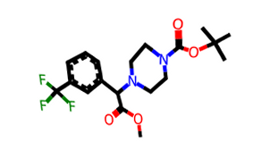 COC(=O)C(c1cccc(C(F)(F)F)c1)N1CCN(C(=O)OC(C)(C)C)CC1